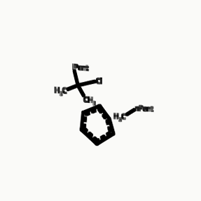 CCCC(C)C(C)(C)Cl.CCCCCC.c1ccccc1